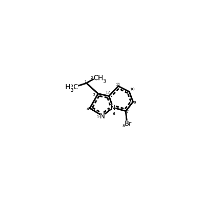 CC(C)c1cnn2c(Br)cccc12